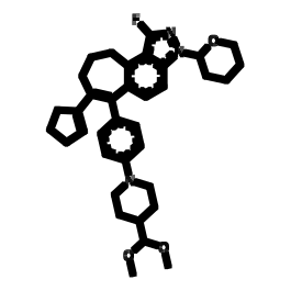 COC(OC)C1CCN(c2ccc(C3=C(C4=CCCC4)CCCc4c3ccc3c4c(F)nn3C3CCCCO3)cc2)CC1